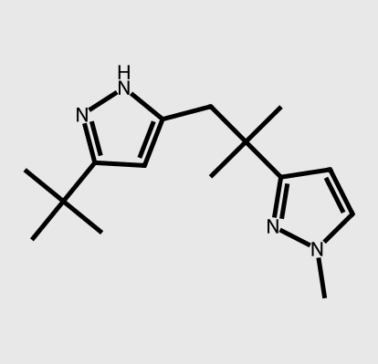 Cn1ccc(C(C)(C)Cc2cc(C(C)(C)C)n[nH]2)n1